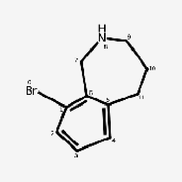 Brc1cccc2c1CNCCC2